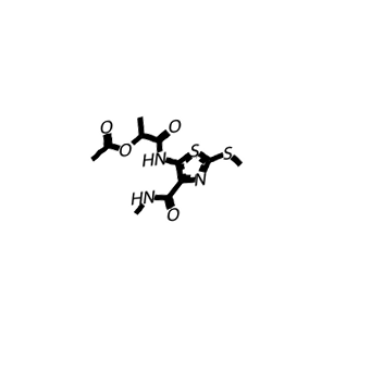 CNC(=O)c1nc(SC)sc1NC(=O)C(C)OC(C)=O